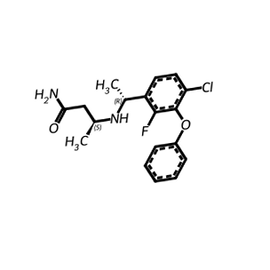 C[C@@H](CC(N)=O)N[C@H](C)c1ccc(Cl)c(Oc2ccccc2)c1F